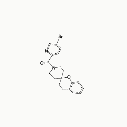 O=C(c1ccc(Br)cn1)N1CCC2(CCc3ccccc3O2)CC1